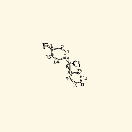 Fc1ccc(C(Cl)=Nc2ccccc2)cc1